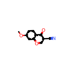 COc1ccc2c(=O)c(C#N)coc2c1